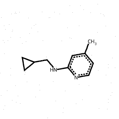 Cc1ccnc(NCC2CC2)c1